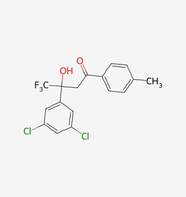 Cc1ccc(C(=O)CC(O)(c2cc(Cl)cc(Cl)c2)C(F)(F)F)cc1